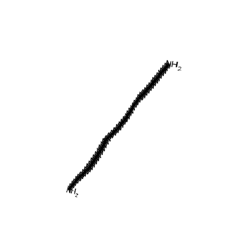 N/N=N/N=N/N=N/N=N/N=N/N=N/N=N/N=N/N=N/N=N/N=N/N=N/N=N/N=N/N=N/N=N/N=N/N=N/N=N/N=N/N=N/N=N/N=N/N=N/N=N/N=N/N=N/N=N/N=N/N=N/N=N/N=N/N=N/N=N/N=N/N=N/N=N/N=N/N=N/N=N/N=N/N=N/N=N/N=N/N=N/N=N/N=N/N